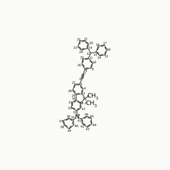 CC1(C)c2cc(C#Cc3ccc(C(c4ccccc4)c4ccccc4)cc3)ccc2-c2ccc(N(c3ccccc3)c3ccccc3)cc21